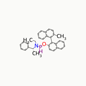 CCN(POc1ccc2ccccc2c1-c1c(C)ccc2ccccc12)[C@H](C)c1ccccc1